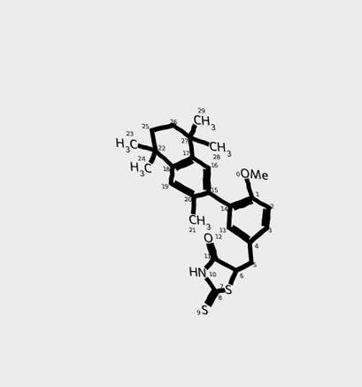 COc1ccc(CC2SC(=S)NC2=O)cc1-c1cc2c(cc1C)C(C)(C)CCC2(C)C